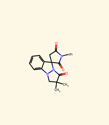 CCCN1C(=O)CC2(C1=O)c1ccccc1N1CC(C)(C)C(=O)N12